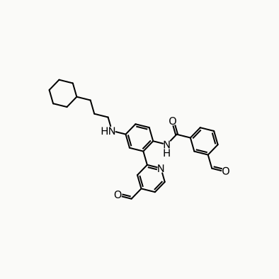 O=Cc1cccc(C(=O)Nc2ccc(NCCCC3CCCCC3)cc2-c2cc(C=O)ccn2)c1